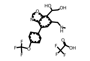 CNCc1cc(-c2ccc(OC(F)(F)F)cc2)c2ncoc2c1C(O)CO.O=C(O)C(F)(F)F